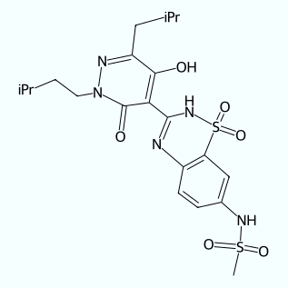 CC(C)CCn1nc(CC(C)C)c(O)c(C2=Nc3ccc(NS(C)(=O)=O)cc3S(=O)(=O)N2)c1=O